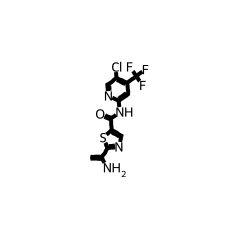 C=C(N)c1ncc(C(=O)Nc2cc(C(F)(F)F)c(Cl)cn2)s1